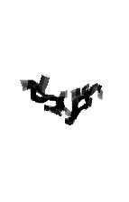 CC1(C)OCC(=O)[C@H](C(O)C(F)N2C=CNN2)O1